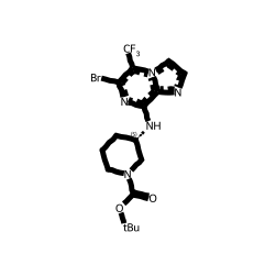 CC(C)(C)OC(=O)N1CCC[C@H](Nc2nc(Br)c(C(F)(F)F)n3ccnc23)C1